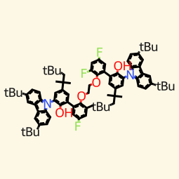 Cc1cc(F)cc(-c2cc(C(C)(C)CC(C)(C)C)cc(-n3c4ccc(C(C)(C)C)cc4c4cc(C(C)(C)C)ccc43)c2O)c1OCCOc1c(F)cc(F)cc1-c1cc(C(C)(C)CC(C)(C)C)cc(-n2c3ccc(C(C)(C)C)cc3c3cc(C(C)(C)C)ccc32)c1O